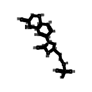 CS(=O)(=O)OCCC1CN(c2cnc3c(n2)NC(=O)CO3)C(=O)O1